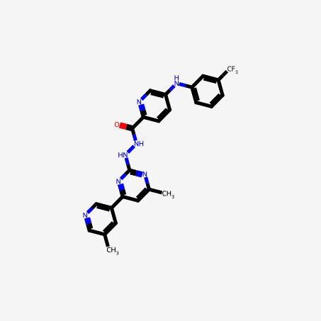 Cc1cncc(-c2cc(C)nc(NNC(=O)c3ccc(Nc4cccc(C(F)(F)F)c4)cn3)n2)c1